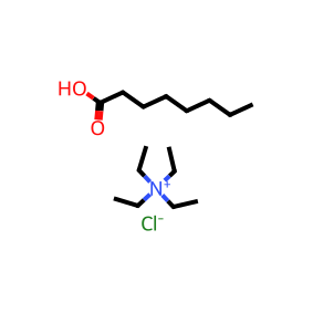 CCCCCCCC(=O)O.CC[N+](CC)(CC)CC.[Cl-]